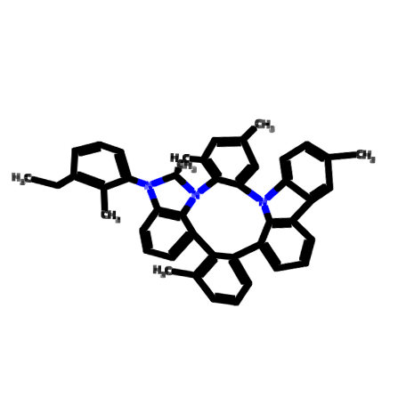 CCc1cccc(N2c3cccc4c3N(c3c(C)cc(C)cc3-n3c5ccc(C)cc5c5cccc(c53)-c3cccc(C)c3-4)[C@@H]2C)c1C